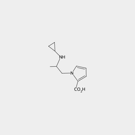 CC(Cn1cccc1C(=O)O)NC1CC1